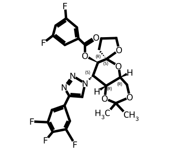 CC1(C)OC[C@H]2O[C@@]3(CCCO3)[C@H](OC(=O)c3cc(F)cc(F)c3)[C@@H](n3cc(-c4cc(F)c(F)c(F)c4)nn3)[C@H]2O1